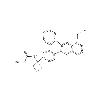 CC(C)(C)OC(=O)NC1(c2ccc(-c3nc4ccnc(CO)c4cc3-c3ccccc3)cc2)CCC1